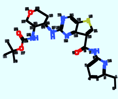 CCc1cccc(NC(=O)c2csc3cnc(N[C@@H]4CCOC[C@@H]4NC(=O)OC(C)(C)C)nc23)n1